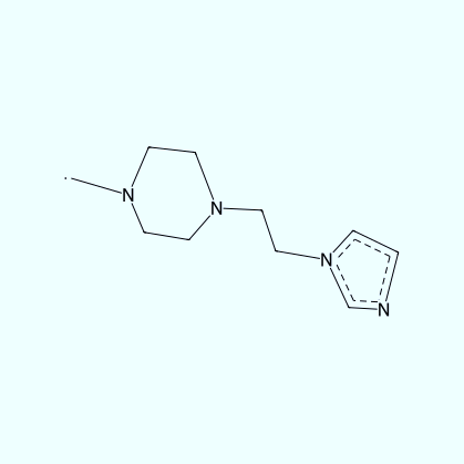 [CH2]N1CCN(CCn2ccnc2)CC1